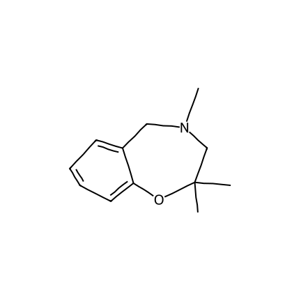 CN1Cc2ccccc2OC(C)(C)C1